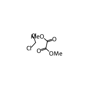 COC(=O)C(=O)OC.ClCCl